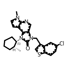 C[C@@H]1CCCC[C@@H]1n1c(=O)n(Cc2csc3ccc(Cl)cc23)c2cnc3c(ccn3C)c21